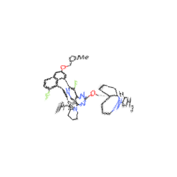 COCOc1cc(-c2ncc3c(N4CCCCC4)nc(OC[C@]45CCC[C@H]4N(C)CCC5)nc3c2F)c2c(C#C[Si](C(C)C)(C(C)C)C(C)C)c(F)ccc2c1